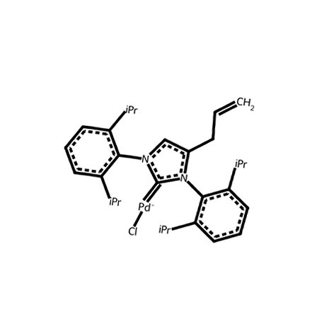 C=CCc1cn(-c2c(C(C)C)cccc2C(C)C)[c](=[Pd-][Cl])n1-c1c(C(C)C)cccc1C(C)C